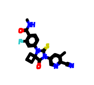 CNC(=O)c1ccc(N2C(=S)N(c3cnc(C#N)c(C)c3)C(=O)C23CCC3)cc1F